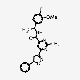 COc1cc([C@H](C)NC(=O)c2cc(C3=NOC(c4ccccc4)C3)nc(C)n2)ccc1F